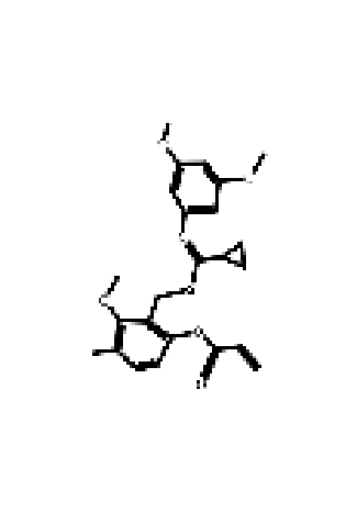 C=CC(=O)Oc1ccc(C)c(OC)c1CSC(=Nc1cc(OC)cc(OC)c1)C1CC1